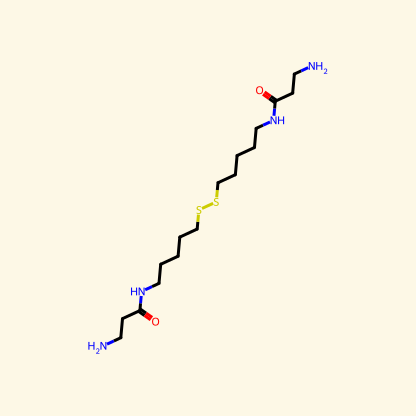 NCCC(=O)NCCCCCSSCCCCCNC(=O)CCN